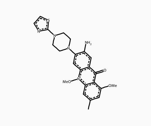 COc1cc(C)cc2c1c(=O)c1cc(N)c(N3CCN(c4nccs4)CC3)cc1n2OC